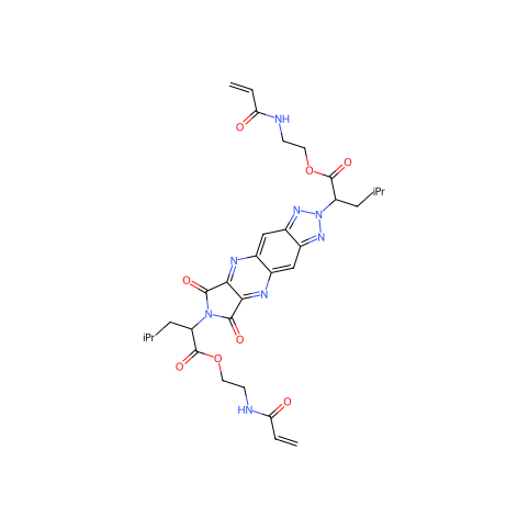 C=CC(=O)NCCOC(=O)C(CC(C)C)N1C(=O)c2nc3cc4nn(C(CC(C)C)C(=O)OCCNC(=O)C=C)nc4cc3nc2C1=O